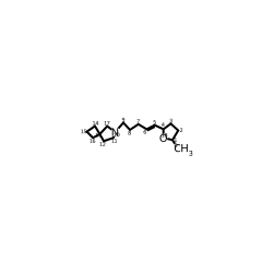 CC1CCC(/C=C/CCCN2CCC3(CCC3)C2)O1